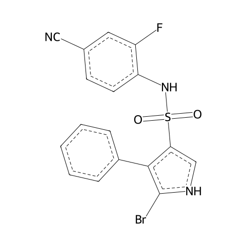 N#Cc1ccc(NS(=O)(=O)c2c[nH]c(Br)c2-c2ccccc2)c(F)c1